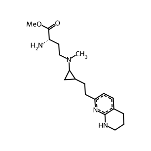 COC(=O)[C@@H](N)CCN(C)C1CC1CCc1ccc2c(n1)NCCC2